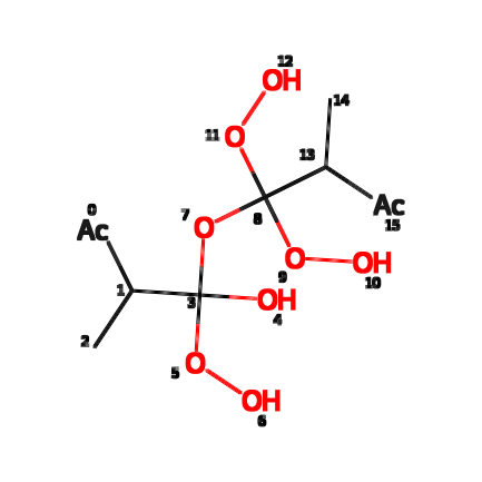 CC(=O)C(C)C(O)(OO)OC(OO)(OO)C(C)C(C)=O